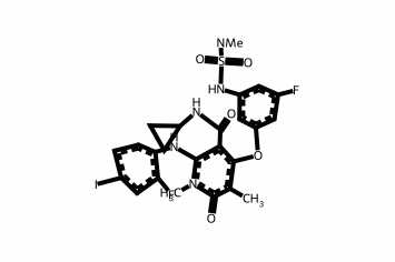 CNS(=O)(=O)Nc1cc(F)cc(Oc2c(C(=O)NC3CC3)c(Nc3ccc(I)cc3F)n(C)c(=O)c2C)c1